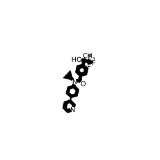 C[C@](O)(c1ccc(C(=O)N(C2CCC([C@@H]3C=CC=NC3)CC2)C2CC2)cc1)C(F)(F)F